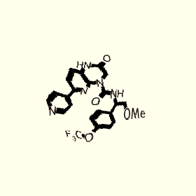 COCC(NC(=O)N1CC(=O)Nc2ccc(-c3ccncc3)nc21)c1ccc(OC(F)(F)F)cc1